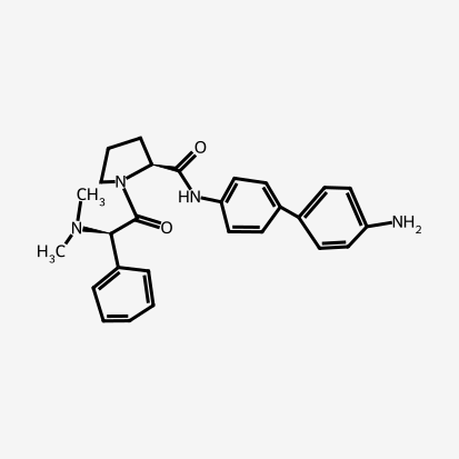 CN(C)[C@@H](C(=O)N1CCC[C@H]1C(=O)Nc1ccc(-c2ccc(N)cc2)cc1)c1ccccc1